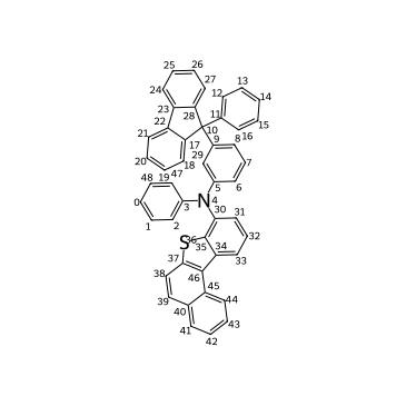 c1ccc(N(c2cccc(C3(c4ccccc4)c4ccccc4-c4ccccc43)c2)c2cccc3c2sc2ccc4ccccc4c23)cc1